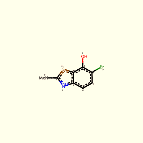 CNc1nc2ccc(Br)c(O)c2s1